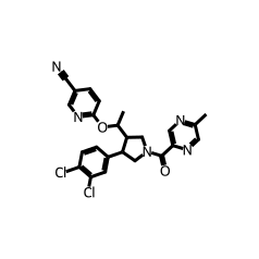 Cc1cnc(C(=O)N2CC(c3ccc(Cl)c(Cl)c3)C(C(C)Oc3ccc(C#N)cn3)C2)cn1